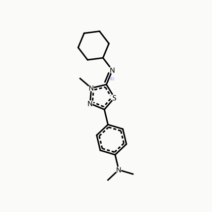 CN(C)c1ccc(-c2nn(C)/c(=N\C3CCCCC3)s2)cc1